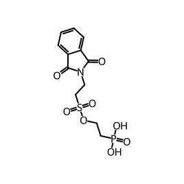 O=C1c2ccccc2C(=O)N1CCS(=O)(=O)OCCP(=O)(O)O